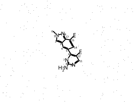 Cn1cc2cc(-c3nc(N)ncc3F)cc(F)c2n1